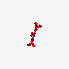 CC1(C)c2ccccc2-c2ccc(N(c3ccc4c(c3)C(C)(C)c3ccccc3-4)c3ccc4c(c3)C(C)(C)c3cc(/C=C/c5ccc6c(c5)C5(c7ccccc7-c7ccccc75)c5cc(/C=C/c7ccc8c(c7)C(C)(C)c7cc(N(c9ccc%10c(c9)C(C)(C)c9ccccc9-%10)c9ccc%10c(c9)C(C)(C)c9ccccc9-%10)ccc7-8)ccc5-6)ccc3-4)cc21